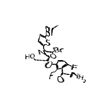 NC(=O)c1c(F)ccc(OC(CO)c2nc(-c3ccc(Br)s3)c(Br)o2)c1F